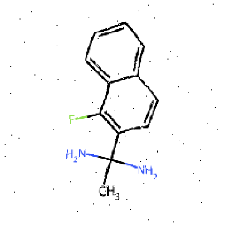 CC(N)(N)c1ccc2ccccc2c1F